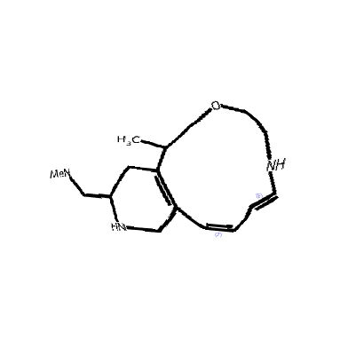 CNCC1CC2=C(/C=C\C=C\NCCOCC2C)CN1